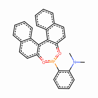 CN(C)c1ccccc1-p1oc2ccc3ccccc3c2c2c(ccc3ccccc32)o1